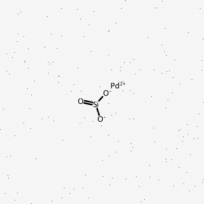 O=[Si]([O-])[O-].[Pd+2]